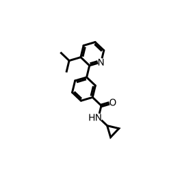 CC(C)c1cccnc1-c1cccc(C(=O)NC2CC2)c1